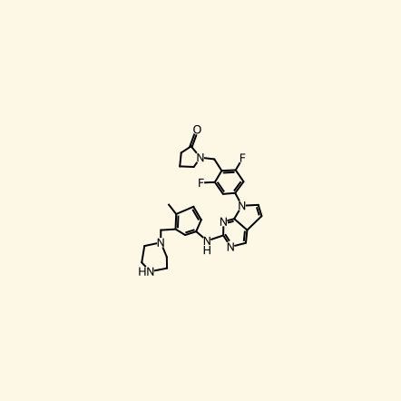 Cc1ccc(Nc2ncc3ccn(-c4cc(F)c(CN5CCCC5=O)c(F)c4)c3n2)cc1CN1CCNCC1